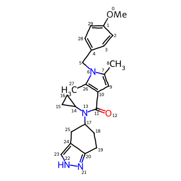 COc1ccc(Cn2c(C)cc(C(=O)N(C3CC3)C3CCc4n[nH]cc4C3)c2C)cc1